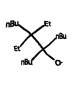 CCCCC([O])(CCCC)C(CC)(CC)CCCC